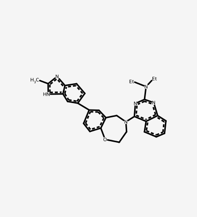 CCN(CC)c1nc(N2CCOc3ccc(-c4ccc5nc(C)[nH]c5c4)cc3C2)c2ccccc2n1